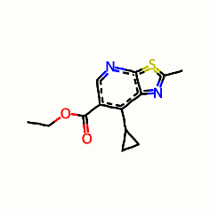 CCOC(=O)c1cnc2sc(C)nc2c1C1CC1